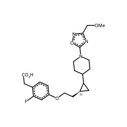 COCc1noc(N2CCC(C3C[C@H]3CCOc3ccc(CC(=O)O)c(F)c3)CC2)n1